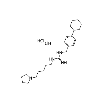 Cl.Cl.N=C(NCCCCCN1CCCC1)NCc1ccc(C2CCCCC2)cc1